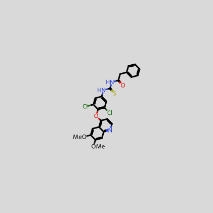 COc1cc2nccc(Oc3c(Cl)cc(NC(=S)NC(=O)Cc4ccccc4)cc3Cl)c2cc1OC